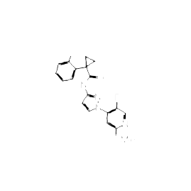 COc1cc(-n2ccc(NC(=O)C3(c4ccccc4F)CC3)n2)c(F)cn1